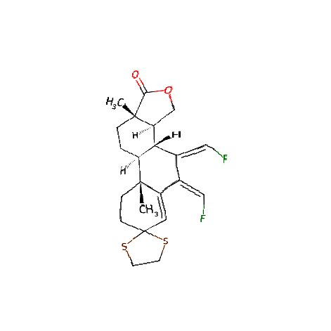 C[C@]12CCC3(C=C1C(=CF)C(=CF)[C@@H]1[C@@H]2CC[C@]2(C)C(=O)OC[C@@H]12)SCCS3